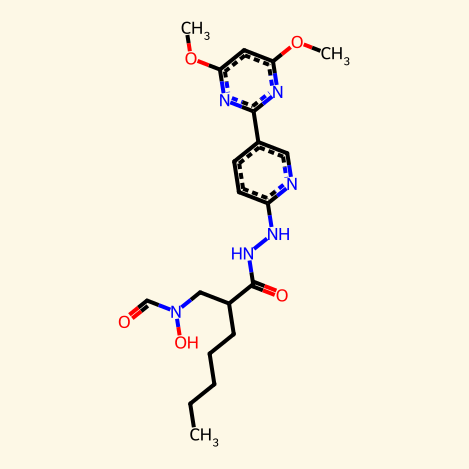 CCCCCC(CN(O)C=O)C(=O)NNc1ccc(-c2nc(OC)cc(OC)n2)cn1